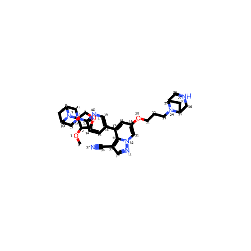 COC1COCC1N1C2CC1CN(c1ccc(-c3cc(OCCCN4C5CNCC4C5)cn4ncc(C#N)c34)cn1)C2